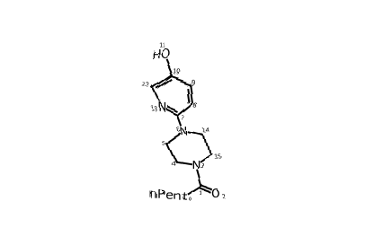 CCCCCC(=O)N1CCN(c2ccc(O)cn2)CC1